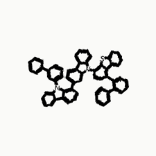 c1ccc(-c2cccc(-n3c4ccccc4c4cccc(-c5ccc6c7ccccc7n(-c7ccc(-c8ccccc8-c8ccccc8)c8c7sc7ccccc78)c6c5)c43)c2)cc1